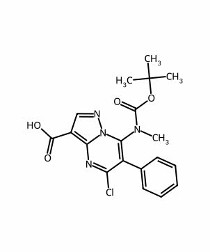 CN(C(=O)OC(C)(C)C)c1c(-c2ccccc2)c(Cl)nc2c(C(=O)O)cnn12